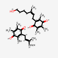 CC(=CCC1=C(C)C(=O)C(C)=C(C)C1=O)CCCCO.CCCCCCC(C)=CCC1=C(C(C)(C)C)C(=O)C(C)=C(C)C1=O